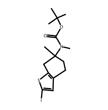 CN(C(=O)OC(C)(C)C)C1(C)CCc2cc(I)sc2C1